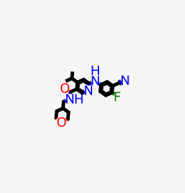 CC(C)c1cc(Nc2ccc(F)c(C#N)c2)ncc1C(=O)NCC1CCOCC1